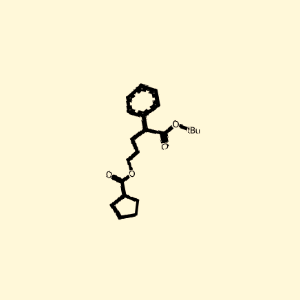 CC(C)(C)OC(=O)C(CCCOC(=O)C1CCCC1)c1ccccc1